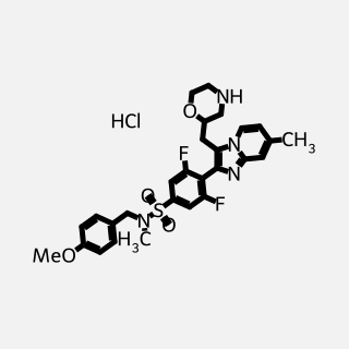 COc1ccc(CN(C)S(=O)(=O)c2cc(F)c(-c3nc4cc(C)ccn4c3CC3CNCCO3)c(F)c2)cc1.Cl